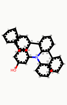 Oc1cc(-c2ccccc2)cc(N(c2ccccc2)c2c(-c3ccccc3)cccc2-c2ccccc2)c1